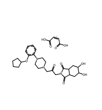 O=C(CN1CCN(c2ccccc2OC2CCCC2)CC1)CN1C(=O)C2CC(O)C(O)CC2C1=O.O=C(O)/C=C\C(=O)O